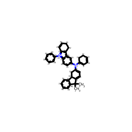 CC1(C)C2=CC=C(N(C3=CC=CCC3)c3ccc4c(c3)c3c(n4-c4ccccc4)C=CCC3)CC2c2ccccc21